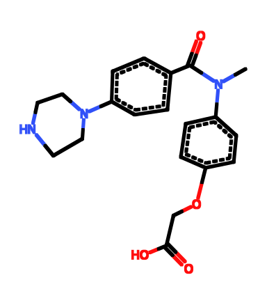 CN(C(=O)c1ccc(N2CCNCC2)cc1)c1ccc(OCC(=O)O)cc1